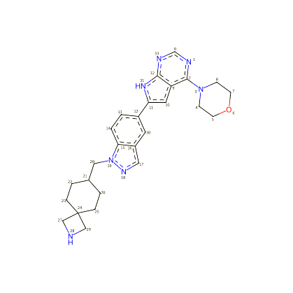 c1nc(N2CCOCC2)c2cc(-c3ccc4c(cnn4CC4CCC5(CC4)CNC5)c3)[nH]c2n1